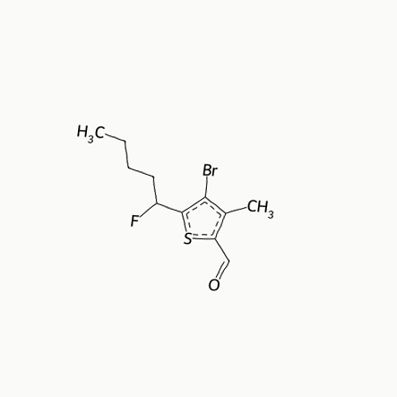 CCCCC(F)c1sc(C=O)c(C)c1Br